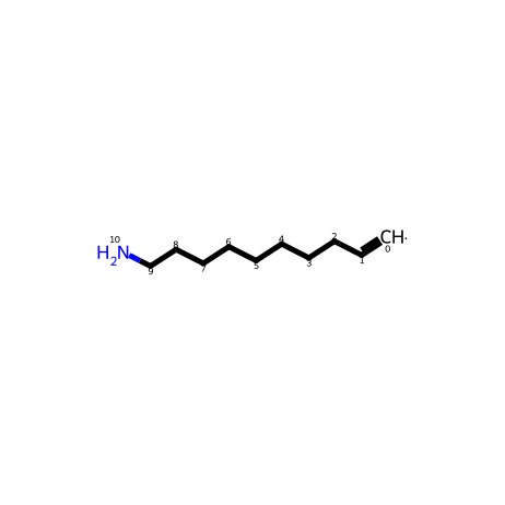 [CH]=CCCCCCCCCN